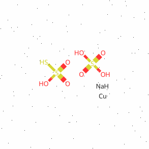 O=S(=O)(O)O.O=S(=O)(O)S.[Cu].[NaH]